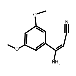 COc1cc(OC)cc(/C(N)=C\C#N)c1